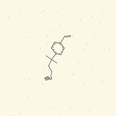 C=Cc1ccc(C(C)(C)CCC(C)(C)C)cc1